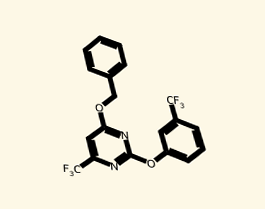 FC(F)(F)c1cccc(Oc2nc(OCc3ccccc3)cc(C(F)(F)F)n2)c1